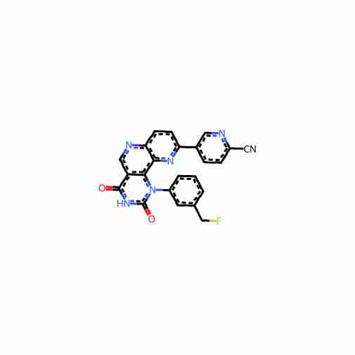 N#Cc1ccc(-c2ccc3ncc4c(=O)[nH]c(=O)n(-c5cccc(CF)c5)c4c3n2)cn1